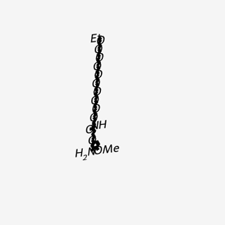 CCOCCOCCOCCOCCOCCOCCOCCOCCOCCOCCNC(=O)CCCOc1ccc(OC)c(N)c1